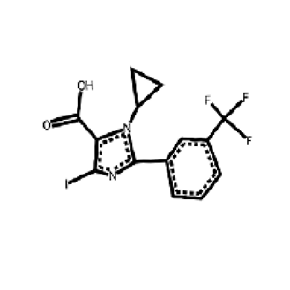 O=C(O)c1c(I)nc(-c2cccc(C(F)(F)F)c2)n1C1CC1